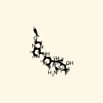 C#CCOc1cnc2c(Nc3cnc(F)c([C@@]4(C)N=C(N)S[C@]5([C@H](O)C(F)(F)F)C[C@H]54)c3)nccc2n1